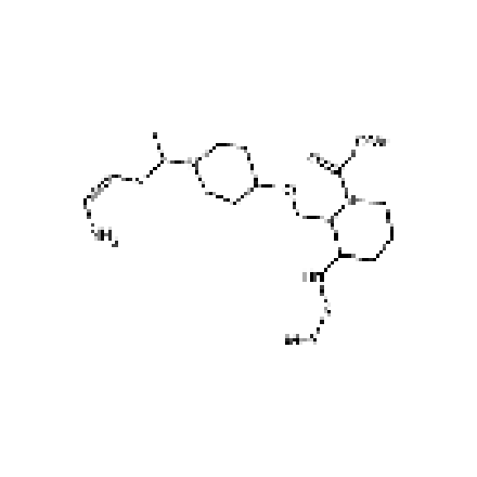 COC(=O)N1CCCC(NSSC)C1COC1CCN(C(C)S/C=C\N)CC1